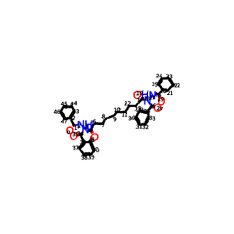 O=C(NN(C(=O)CCCCCCCCC(=O)N(NC(=O)c1ccccc1)C(=O)c1ccccc1)C(=O)c1ccccc1)c1ccccc1